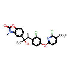 CC(c1ccc(Oc2ccc(C(=O)O)c(Cl)n2)cc1Cl)C(O)(c1ccc2oc(=O)n(C)c2c1)C(F)(F)F